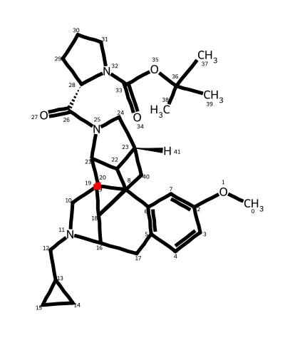 COc1ccc2c(c1)C13CCN(CC4CC4)C(C2)C12CCC1C3[C@H](CN1C(=O)[C@@H]1CCCN1C(=O)OC(C)(C)C)C2